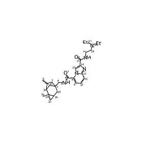 C=C1CC2(CNC(=O)c3cccc4nc(C(=O)NCCN(CC)CC)cn34)CC3CC3(C)C1C2